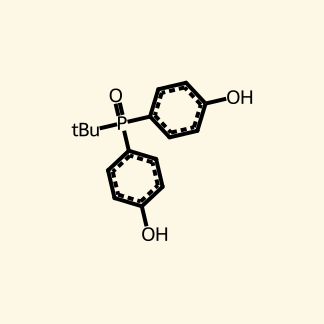 CC(C)(C)P(=O)(c1ccc(O)cc1)c1ccc(O)cc1